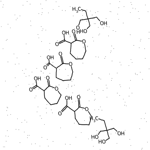 CCC(CO)(CO)CO.CCC(CO)(CO)CO.O=C(O)C1CCCCOC1=O.O=C(O)C1CCCCOC1=O.O=C(O)C1CCCCOC1=O.O=C(O)C1CCCCOC1=O